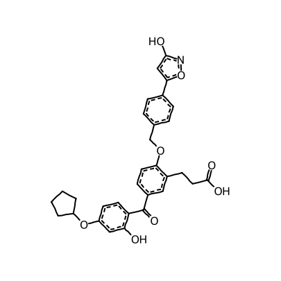 O=C(O)CCc1cc(C(=O)c2ccc(OC3CCCC3)cc2O)ccc1OCc1ccc(-c2cc(O)no2)cc1